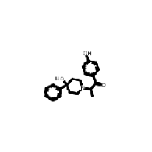 CC(C(=O)c1ccc(O)cc1)N1CCC(O)(c2ccccc2)CC1